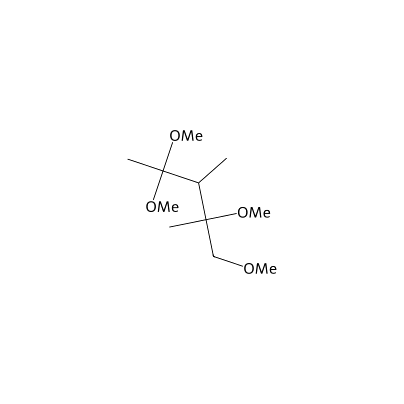 COCC(C)(OC)C(C)C(C)(OC)OC